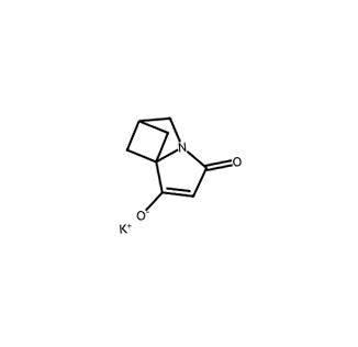 O=C1C=C([O-])C23CC(CN12)C3.[K+]